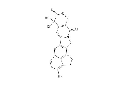 CCC1(O)C(=O)OCc2c1cc1n(c2=O)Cc2c-1nc1ccc(O)c3c1c2CC3